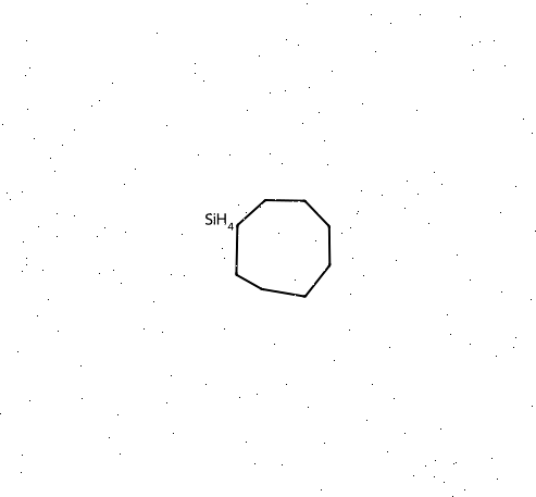 C1CCCCCCC1.[SiH4]